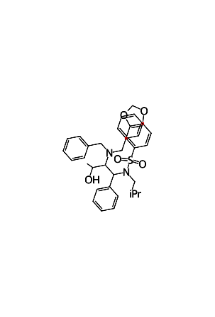 CC(C)CN(C(c1ccccc1)C(C(C)O)N(Cc1ccccc1)Cc1ccccc1)S(=O)(=O)c1ccc2c(c1)OCO2